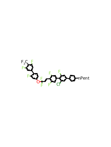 CCCCCc1ccc(-c2cc(F)c(-c3cc(F)c(/C=C/C(F)(F)Oc4ccc(-c5cc(F)c(C(F)(F)F)c(F)c5)c(F)c4)c(F)c3)c(Cl)c2)cc1